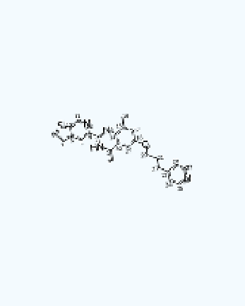 C=C1NC(c2cc3ccsc3cn2)=Nc2c(C)cc(OCCCc3ccncc3)cc21